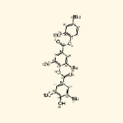 CC(C)(C)c1ccc(OC(=O)c2cc(C(C)(C)C)c(OC(=O)c3cc(C(C)(C)C)c(O)c(C(C)(C)C)c3)c(C(C)(C)C)c2)c(C(C)(C)C)c1